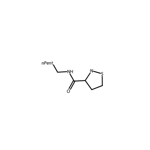 CCCCCCNC(=O)C1CCS[N]1